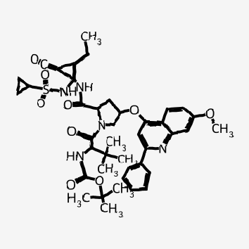 CCC1C(=C=O)C1(NC(=O)C1CC(Oc2cc(-c3ccccc3)nc3cc(OC)ccc23)CN1C(=O)C(NC(=O)OC(C)(C)C)C(C)(C)C)NS(=O)(=O)C1CC1